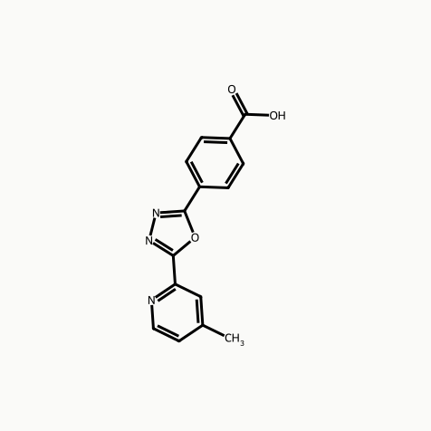 Cc1ccnc(-c2nnc(-c3ccc(C(=O)O)cc3)o2)c1